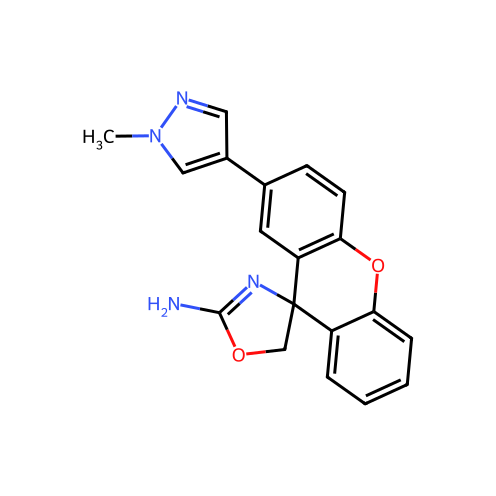 Cn1cc(-c2ccc3c(c2)C2(COC(N)=N2)c2ccccc2O3)cn1